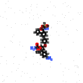 CC(C)(C)[C@](O)(CC(COC(N)=O)Oc1ccc(-c2ccc(C(=O)NS(C)(=O)=O)c(C3CCCC3)c2)cc1)c1ccc(N)cc1